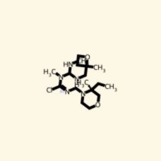 CC[C@]1(C)COCCN1C/N=C(/Cl)N(C)C(NC)NCC1(C)CCO1